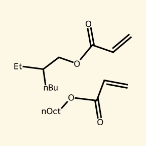 C=CC(=O)OCC(CC)CCCC.C=CC(=O)OCCCCCCCC